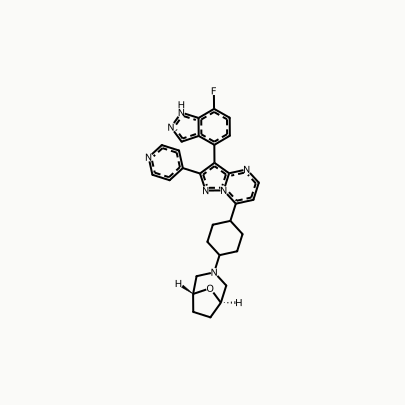 Fc1ccc(-c2c(-c3ccncc3)nn3c(C4CCC(N5C[C@H]6CC[C@H](C5)O6)CC4)ccnc23)c2cn[nH]c12